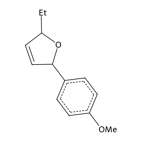 CCC1C=CC(c2ccc(OC)cc2)O1